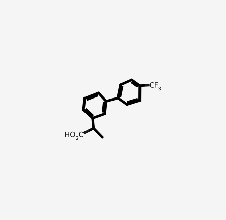 CC(C(=O)O)c1cccc(-c2ccc(C(F)(F)F)cc2)c1